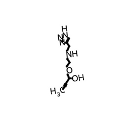 CC#CC(O)COCCCNCCc1c[nH]nn1